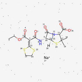 CCOC(=O)C(C(=O)N[C@@H]1C(=O)N2C(C(=O)[O-])C(C)(C)S[C@@H]12)=C1SCCS1.[Na+]